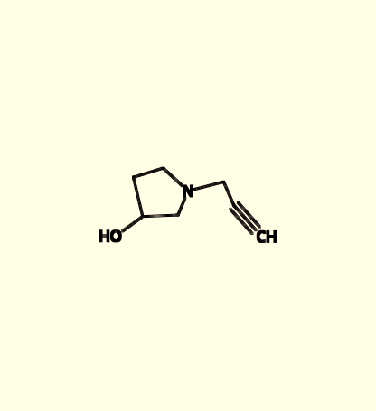 C#CCN1CCC(O)C1